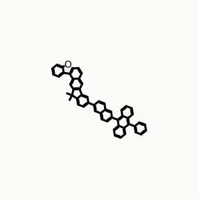 CC1(C)c2ccc(-c3ccc4cc(-c5c6ccccc6c(-c6ccccc6)c6ccccc56)ccc4c3)cc2-c2cc3ccc4oc5ccccc5c4c3cc21